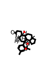 CC(=O)O[C@@]1(c2ccc(C)cc2)C[C@H]2NC(=O)CC[C@]2(C)[C@H]2CC[C@]3(C)CCC[C@H]3[C@@H]21